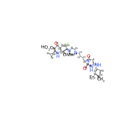 CCc1cc(Nc2cc(=O)n(CCCCN3CCN(c4c(F)cc5c(=O)c(C(=O)O)c(C6CC6)[nH]c5c4OC)CC3)c(=O)[nH]2)ccc1C